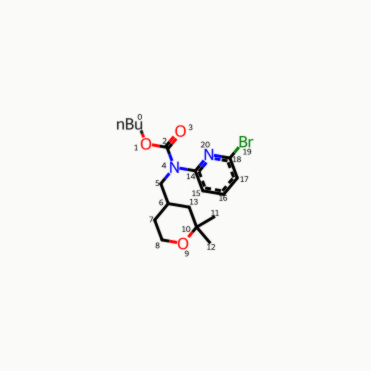 CCCCOC(=O)N(CC1CCOC(C)(C)C1)c1cccc(Br)n1